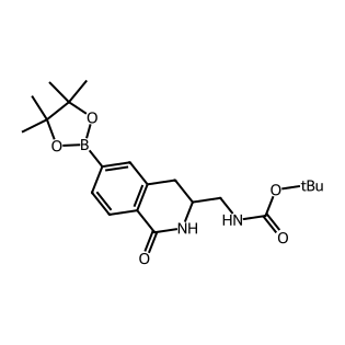 CC(C)(C)OC(=O)NCC1Cc2cc(B3OC(C)(C)C(C)(C)O3)ccc2C(=O)N1